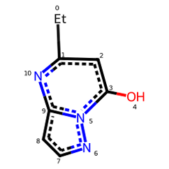 CCc1cc(O)n2nccc2n1